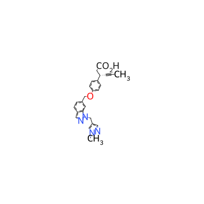 CC#C[C@@H](CC(=O)O)c1ccc(OCc2ccc3cnn(Cc4cnn(C)c4)c3c2)cc1